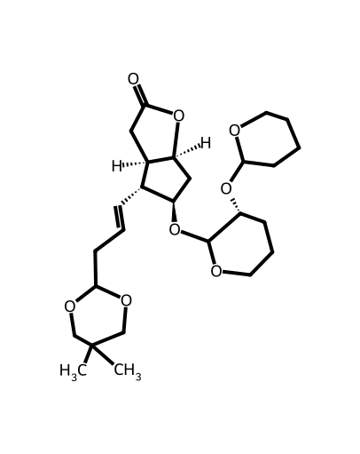 CC1(C)COC(C/C=C/[C@@H]2[C@H]3CC(=O)O[C@H]3C[C@H]2OC2OCCC[C@H]2OC2CCCCO2)OC1